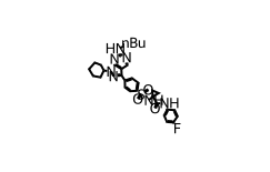 CCCCNc1ncc2c(-c3ccc(S(=O)(=O)NC4(C(=O)Nc5ccc(F)cc5)CC4)cc3)nn(C3CCCCC3)c2n1